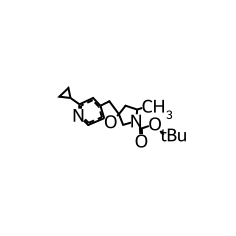 CC1CC2(Cc3cc(C4CC4)ncc3O2)CN1C(=O)OC(C)(C)C